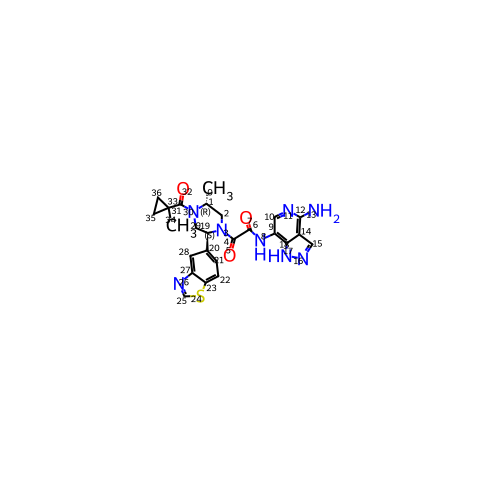 C[C@@H]1CN(C(=O)C(=O)Nc2cnc(N)c3cn[nH]c23)[C@@H](c2ccc3scnc3c2)CN1C(=O)C1(C)CC1